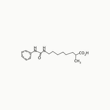 CC(CCCCCCNC(=O)Nc1ccccc1)C(=O)O